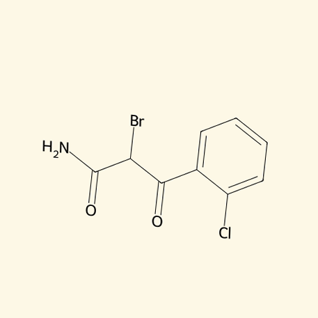 NC(=O)C(Br)C(=O)c1ccccc1Cl